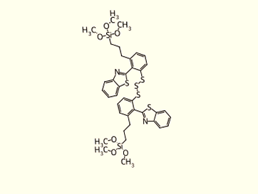 CO[Si](CCCc1cccc(SSSc2cccc(CCC[Si](OC)(OC)OC)c2-c2nc3ccccc3s2)c1-c1nc2ccccc2s1)(OC)OC